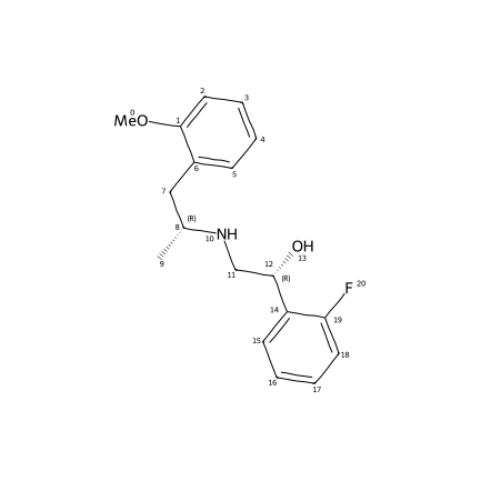 COc1ccccc1C[C@@H](C)NC[C@H](O)c1ccccc1F